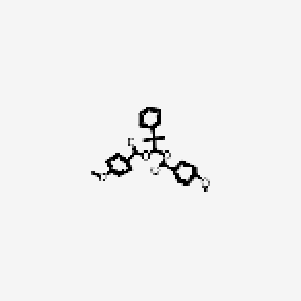 COc1ccc(C(=O)OC(OC(=O)c2ccc(OC)cc2)C(C)(C)c2ccccc2)cc1